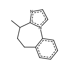 CC1CCc2ccccc2-n2ccnc21